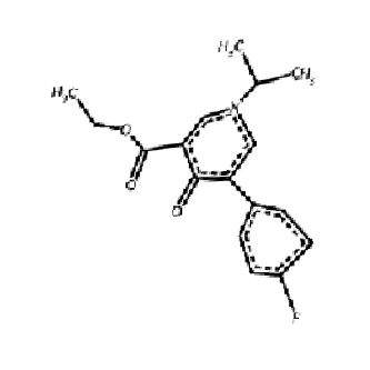 CCOC(=O)c1cn(C(C)C)cc(-c2ccc(F)cc2)c1=O